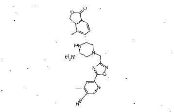 Cc1cc(-c2nc(CN3C[C@@H](c4ccc5c(c4C)COC5=O)N[C@@H](N)C3)no2)ncc1C#N